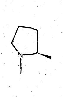 C[C@@H]1CCCN1C